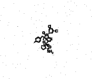 Cc1ccc(C[C@]2(C)C(=O)N(c3cc(Cl)cc(Cl)c3)c3ncc(S(=O)(=O)N4CCC[C@H]4C(N)=O)n32)cc1